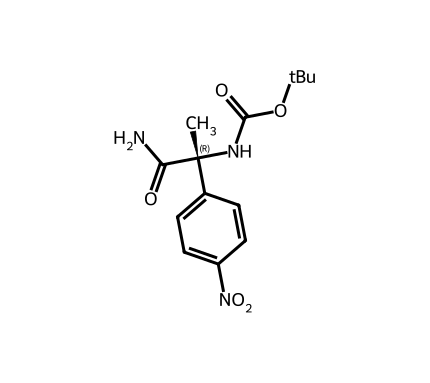 CC(C)(C)OC(=O)N[C@@](C)(C(N)=O)c1ccc([N+](=O)[O-])cc1